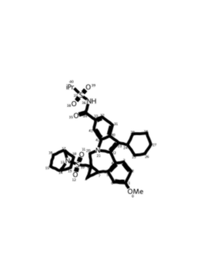 COc1ccc2c(c1)C1CC1(S(=O)(=O)N1C3CCC1CC3)Cn1c-2c(C2CCCCC2)c2ccc(C(=O)NS(=O)(=O)C(C)C)cc21